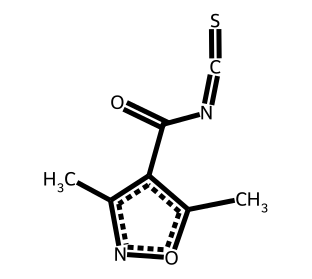 Cc1noc(C)c1C(=O)N=C=S